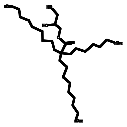 CCCCCCCCCCCCCCCCCCC(CCCCCCCCCCCCCCCC)(CCCCCCCCCCCCCCCCCC)C(=O)OCC(O)CO